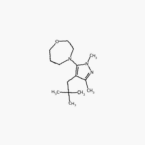 Cc1nn(C)c(N2CCCOCC2)c1CC(C)(C)C